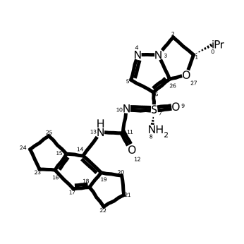 CC(C)[C@H]1Cn2ncc([S@@](N)(=O)=NC(=O)Nc3c4c(cc5c3CCC5)CCC4)c2O1